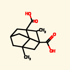 CC1C2(C(=O)O)CC3CC(C)(C2)CC1(C(=O)O)C3